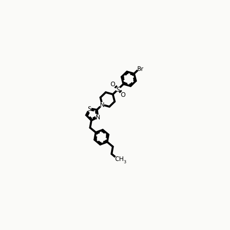 CCCc1ccc(Cc2csc(N3CCC(S(=O)(=O)c4ccc(Br)cc4)CC3)n2)cc1